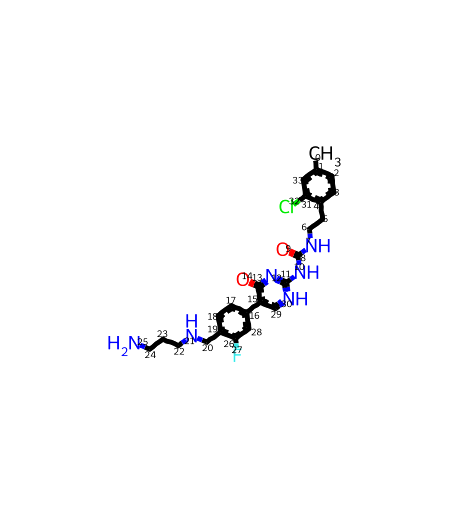 Cc1ccc(CCNC(=O)Nc2nc(=O)c(-c3ccc(CNCCCN)c(F)c3)c[nH]2)c(Cl)c1